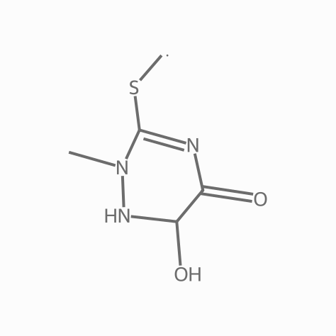 [CH2]SC1=NC(=O)C(O)NN1C